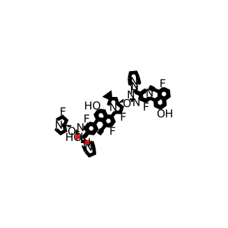 C#Cc1c(F)ccc2cc(O)cc(-c3ncc4c(N5CC6CCC(C5)N6)nc(OC[C@@]56C[C@@H](F)C(c7cc(F)c(C#C)c8c(-c9ccc%10c(N%11CC%12CCC(C%11)N%12CCO)nc(OC[C@@]%11%12CCCN%11C[C@H](F)C%12)nc%10c9F)cc(O)cc78)N5CC5(CC5)C6)nc4c3F)c12